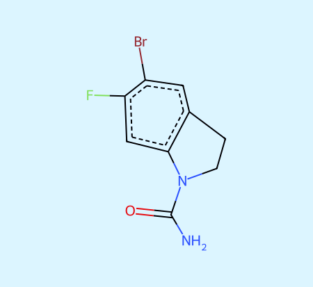 NC(=O)N1CCc2cc(Br)c(F)cc21